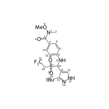 CON(C)C(=O)c1ccc(NC(c2c[nH]nc2C(C)(C)C)S(=O)(=O)CC(F)(F)F)cc1